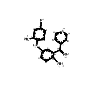 N#Cc1cc(F)ccc1Nc1ccc(N)c(C(=N)c2ccncc2)c1